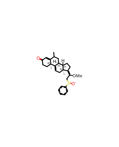 COC(C[S+]([O-])c1ccccc1)=C1CC[C@H]2[C@@H]3CC(C)C4=CC(=O)CC[C@]4(C)C3=CC[C@]12C